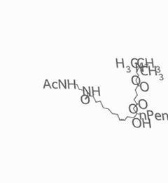 CCCCCC(OC(=O)CCCC(=O)OCC[N+](C)(C)C)C(O)C/C=C\CCCCCCCC(=O)NCCNC(C)=O